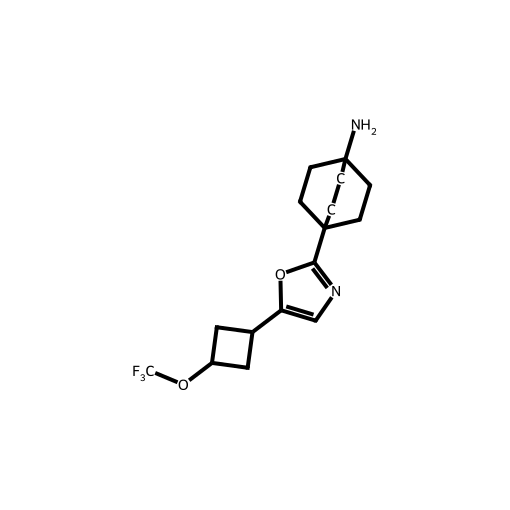 NC12CCC(c3ncc(C4CC(OC(F)(F)F)C4)o3)(CC1)CC2